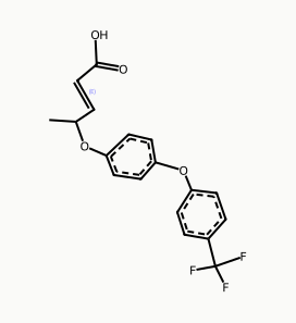 CC(/C=C/C(=O)O)Oc1ccc(Oc2ccc(C(F)(F)F)cc2)cc1